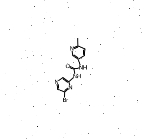 Cc1ccc(NC(=O)Nc2cncc(Br)n2)cn1